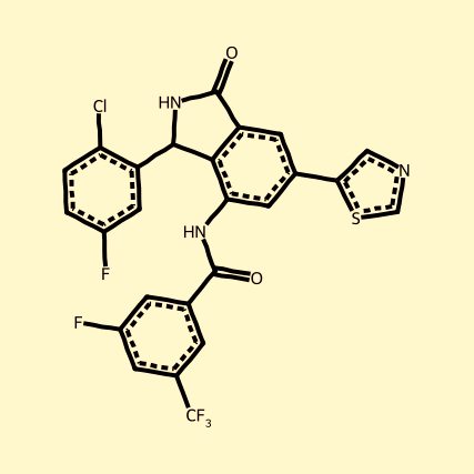 O=C(Nc1cc(-c2cncs2)cc2c1C(c1cc(F)ccc1Cl)NC2=O)c1cc(F)cc(C(F)(F)F)c1